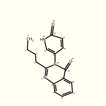 CCCCc1nc2ccccc2c(=O)n1-c1ccc(=O)[nH]c1